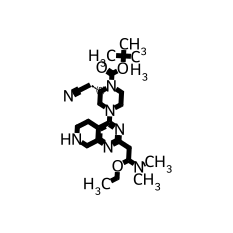 CCOC(Cc1nc2c(c(N3CCN(C(=O)OC(C)(C)C)[C@@H](CC#N)C3)n1)CCNC2)N(C)C